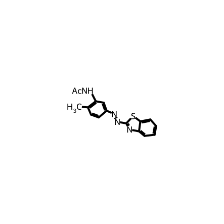 CC(=O)Nc1cc(/N=N/c2nc3ccccc3s2)ccc1C